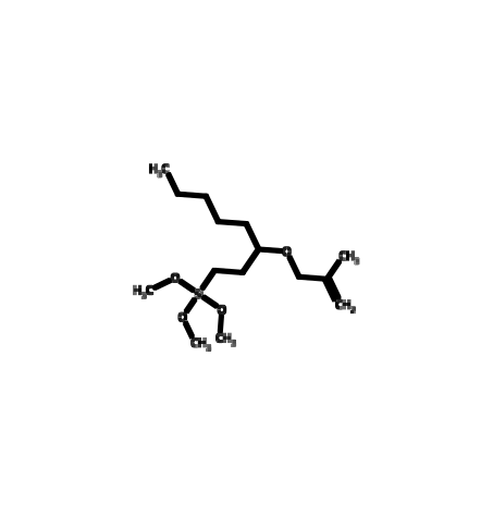 C=C(C)COC(CCCCC)CC[Si](OC)(OC)OC